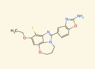 CCOc1cc2c3c(nc(-c4ccc5oc(N)nc5c4)n3CCCO2)c1F